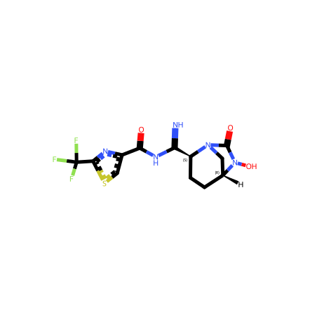 N=C(NC(=O)c1csc(C(F)(F)F)n1)[C@@H]1CC[C@@H]2CN1C(=O)N2O